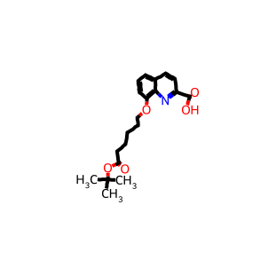 CC(C)(C)OC(=O)CCCCCOc1cccc2ccc(C(=O)O)nc12